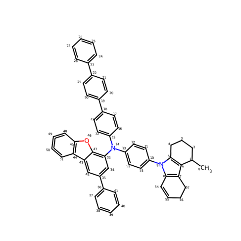 CC1CCCc2c1c1c(n2-c2ccc(N(c3ccc(-c4ccc(-c5ccccc5)cc4)cc3)c3cc(-c4ccccc4)cc4c5c(oc34)C=C=C=C5)cc2)C=CCC1